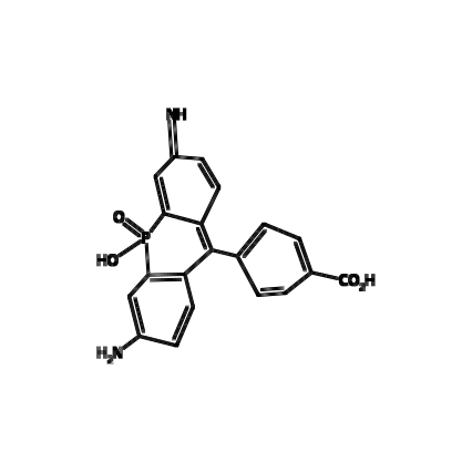 N=C1C=CC2=C(c3ccc(C(=O)O)cc3)c3ccc(N)cc3P(=O)(O)C2=C1